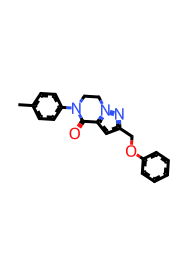 Cc1ccc(N2CCn3nc(COc4ccccc4)cc3C2=O)cc1